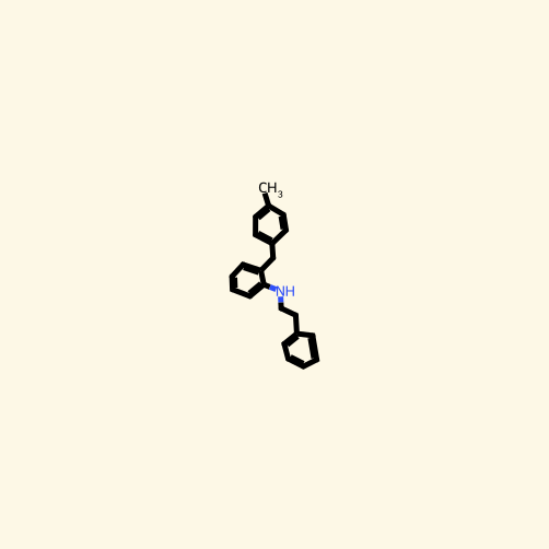 Cc1ccc(Cc2ccccc2NCCc2ccccc2)cc1